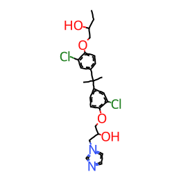 CCC(O)COc1ccc(C(C)(C)c2ccc(OCC(O)Cn3ccnc3)c(Cl)c2)cc1Cl